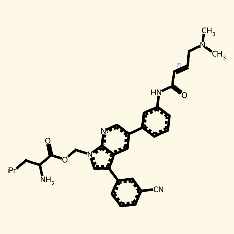 CC(C)CC(N)C(=O)OCn1cc(-c2cccc(C#N)c2)c2cc(-c3cccc(NC(=O)/C=C/CN(C)C)c3)cnc21